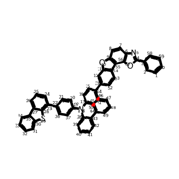 c1ccc(-c2nc3ccc4oc5cc(-c6ccc(N(c7ccc(-c8cccc9c8sc8ccccc89)cc7)c7ccccc7-c7ccccc7)cc6)ccc5c4c3o2)cc1